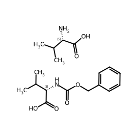 CC(C)[C@H](N)C(=O)O.CC(C)[C@H](NC(=O)OCc1ccccc1)C(=O)O